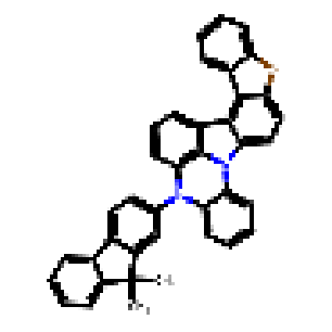 CC1(C)c2ccccc2-c2ccc(N3c4ccccc4-n4c5ccc6sc7ccccc7c6c5c5cccc3c54)cc21